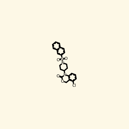 O=C1OCc2c(Cl)cccc2N1C1CCN(S(=O)(=O)c2ccc3ccccc3c2)CC1